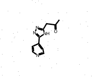 CC(=O)Cc1nnc(-c2ccncc2)[nH]1